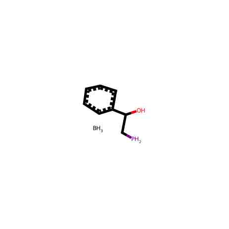 B.OC(CP)c1ccccc1